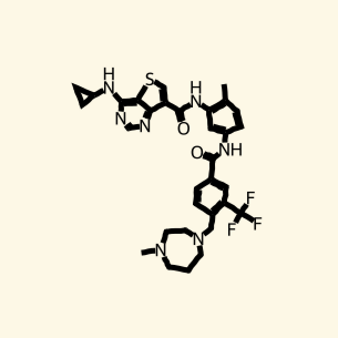 Cc1ccc(NC(=O)c2ccc(CN3CCCN(C)CC3)c(C(F)(F)F)c2)cc1NC(=O)c1csc2c(NC3CC3)ncnc12